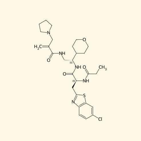 C=C(CN1CCCC1)C(=O)NC[C@@H](NC(=O)[C@H](Cc1nc2ccc(Cl)cc2s1)NC(=O)CC)C1CCOCC1